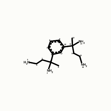 CC(N)(CCN)c1cccc(C(C)(N)CCN)c1